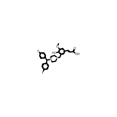 COc1cc(/C=C/C(=O)O)cc(CN2CCN(C(c3ccc(F)cc3)c3ccc(F)cc3)CC2)c1O